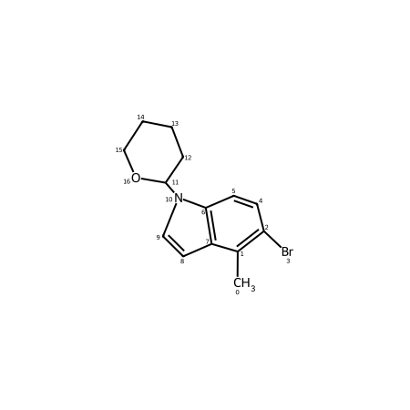 Cc1c(Br)ccc2c1ccn2C1CCCCO1